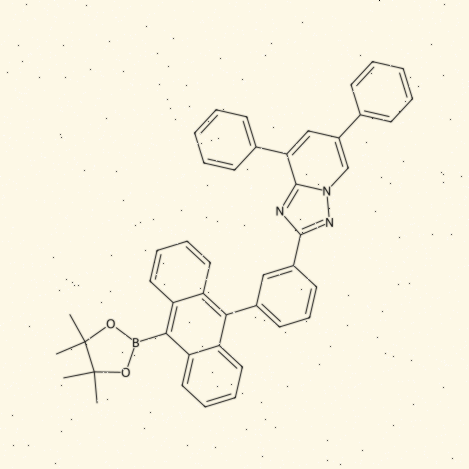 CC1(C)OB(c2c3ccccc3c(-c3cccc(-c4nc5c(-c6ccccc6)cc(-c6ccccc6)cn5n4)c3)c3ccccc23)OC1(C)C